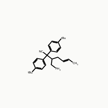 CC=CCC(CP)C(C#N)(c1ccc(C(C)(C)C)cc1)c1ccc(C(C)(C)C)cc1